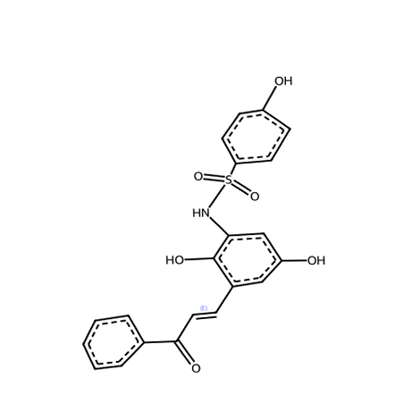 O=C(/C=C/c1cc(O)cc(NS(=O)(=O)c2ccc(O)cc2)c1O)c1ccccc1